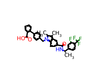 Cc1c(C)n(Cc2ccc(-c3ccccc3C(=O)O)cc2)c2ccc(C(=O)N[C@H](C)c3ccc(C(F)(F)F)c(F)c3)cc12